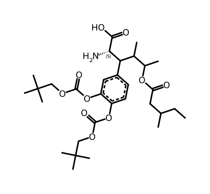 CCC(C)CC(=O)OC(C)C(C)C(c1ccc(OC(=O)OCC(C)(C)C)c(OC(=O)OCC(C)(C)C)c1)[C@H](N)C(=O)O